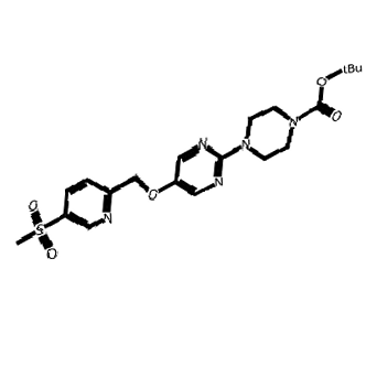 CC(C)(C)OC(=O)N1CCN(c2ncc(OCc3ccc(S(C)(=O)=O)cn3)cn2)CC1